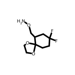 NOCC1CC(F)(F)CCC12OCCO2